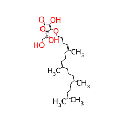 CC(=CCCCOC1=C(O)C(=O)O[C@@H]1[C@@H](O)CO)CCCC(C)CCCC(C)CCCC(C)C